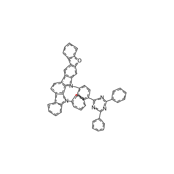 c1ccc(-c2nc(-c3ccccc3)nc(-c3ccc(-n4c5cc6oc7ccccc7c6cc5c5ccc6c7ccccc7n(-c7ccccc7)c6c54)cc3)n2)cc1